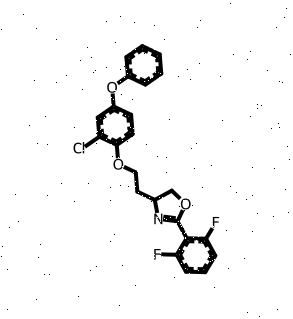 Fc1cccc(F)c1C1=NC(CCOc2ccc(Oc3ccccc3)cc2Cl)CO1